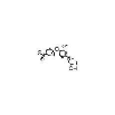 COc1cc(NCC(=O)O)ccc1Oc1ccc([N+](=O)[O-])cn1